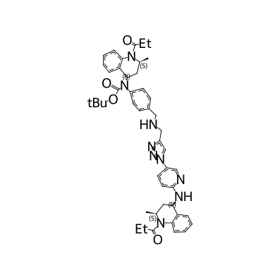 CCC(=O)N1c2ccccc2[C@H](N(C(=O)OC(C)(C)C)c2ccc(CNCc3cn(-c4ccc(N[C@@H]5C[C@H](C)N(C(=O)CC)c6ccccc65)nc4)nn3)cc2)C[C@@H]1C